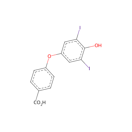 O=C(O)c1ccc(Oc2cc(I)c(O)c(I)c2)cc1